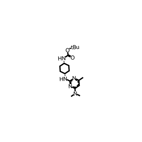 Cc1cc(N(C)C)nc(N[C@H]2CC[C@@H](NC(=O)OC(C)(C)C)CC2)n1